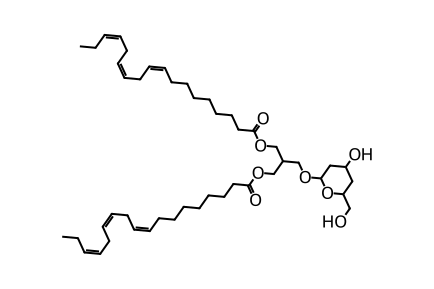 CC/C=C\C/C=C\C/C=C\CCCCCCCC(=O)OCC(COC(=O)CCCCCCC/C=C\C/C=C\C/C=C\CC)COC1CC(O)CC(CO)O1